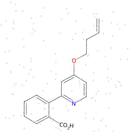 C=CCCOc1ccnc(-c2ccccc2C(=O)O)c1